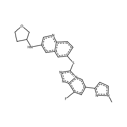 Cn1ccc(-c2cc(F)c3nnc(Sc4ccc5ncc(NC6CCOC6)cc5c4)n3c2)n1